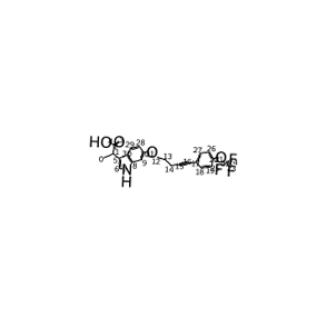 CC(C(=O)O)c1c[nH]c2cc(OCCCC#Cc3ccc(OC(F)(F)F)cc3)ccc12